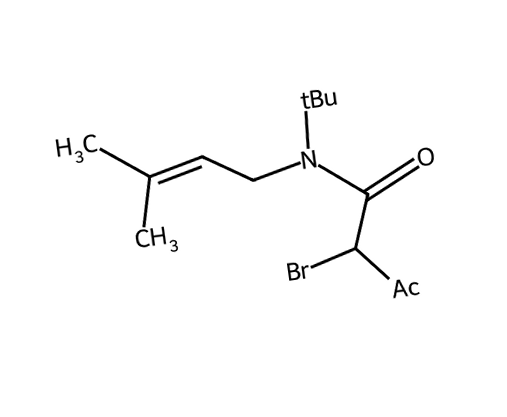 CC(=O)C(Br)C(=O)N(CC=C(C)C)C(C)(C)C